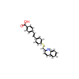 O=C(O)c1ccc(/C=C/c2ccc(SCc3ccc4ccccc4n3)cc2)cc1